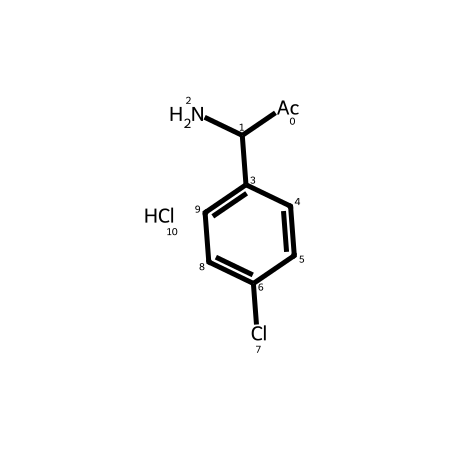 CC(=O)C(N)c1ccc(Cl)cc1.Cl